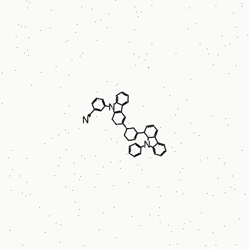 N#Cc1cccc(-n2c3c(c4ccccc42)C=C(C2CCC=C(C4C=CC=C5c6ccccc6N(c6ccccc6)C54)C2)CC3)c1